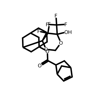 O=C(OC12CC3CC(C1)C1(OCOC(O)(C(F)(F)F)C1(F)F)C(C3)C2)C1CC2C=CC1C2